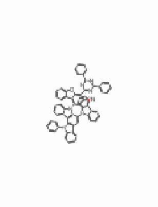 N#Cc1cc(-n2c3ccccc3c3c2c(-n2c4ccccc4c4ccccc42)cc2c4ccccc4n(-c4ccccc4)c23)c2c(oc3ccccc32)c1-c1nc(-c2ccccc2)nc(-c2ccccc2)n1